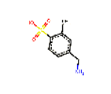 Cc1cc(CN)ccc1S(=O)(=O)O